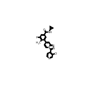 Cc1c(F)cc(C(=O)NC2CC2)cc1-c1ccn2c(-c3ccncc3Cl)nnc2c1